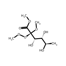 COO[C@](OC)(C(=O)OC)[C@@H](O)[C@H](O)[C@@H](C)O